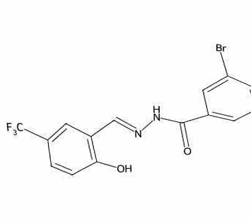 O=C(NN=Cc1cc(C(F)(F)F)ccc1O)c1cccc(Br)c1